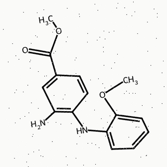 COC(=O)c1ccc(Nc2ccccc2OC)c(N)c1